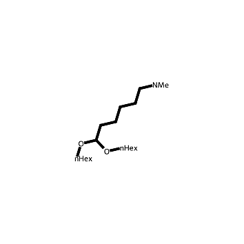 CCCCCCOC(CCCCCNC)OCCCCCC